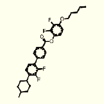 C=CCCCOc1ccc(OC(=O)c2ccc(-c3ccc(C4CCC(C)CC4)c(F)c3F)cc2)c(F)c1F